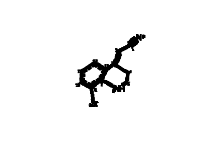 N#CC=C1CCNc2c(Br)cccc21